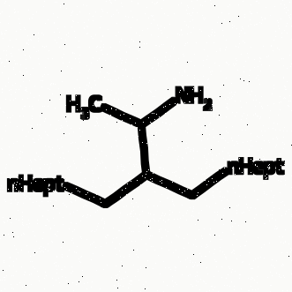 CCCCCCCCC(CCCCCCCC)C(C)N